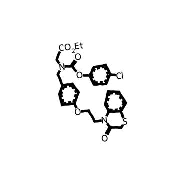 CCOC(=O)CN(Cc1ccc(OCCN2C(=O)CSc3ccccc32)cc1)C(=O)Oc1ccc(Cl)cc1